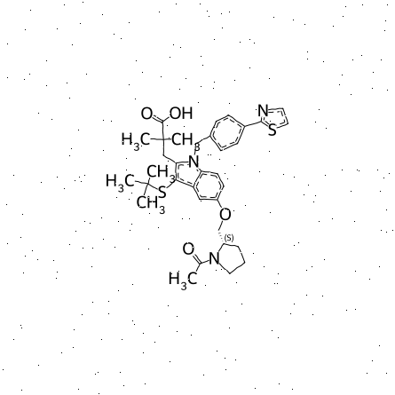 CC(=O)N1CCC[C@H]1COc1ccc2c(c1)c(SC(C)(C)C)c(CC(C)(C)C(=O)O)n2Cc1ccc(-c2nccs2)cc1